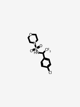 O=S(=O)(NC(c1ccc(Cl)cc1)C(F)(F)F)N1CCOCC1